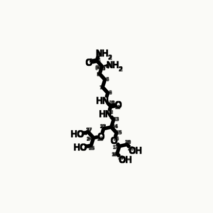 NC(=O)[C@H](N)CCCCNC(=O)NCC(COC(CO)CO)COC(CO)CO